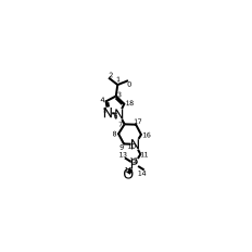 CC(C)c1cnn(C2CCN(CP(C)(C)=O)CC2)c1